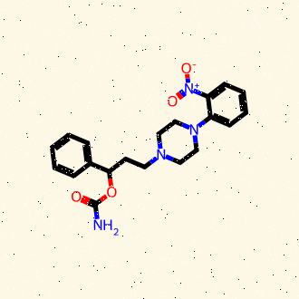 NC(=O)OC(CCN1CCN(c2ccccc2[N+](=O)[O-])CC1)c1ccccc1